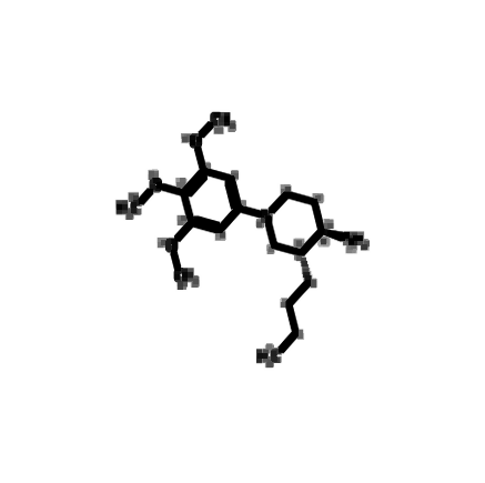 CCCC[C@@H]1CN(c2cc(OC)c(OC)c(OC)c2)CC[C@H]1N